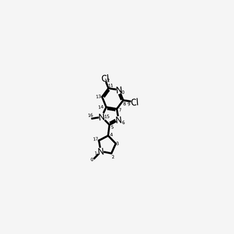 CN1CCC(c2nc3c(Cl)nc(Cl)cc3n2C)C1